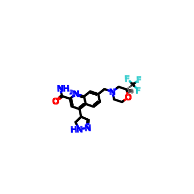 NC(=O)c1cc(C2C=NNC2)c2ccc(CN3CCO[C@@H](C(F)(F)F)C3)cc2n1